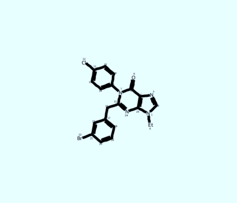 CCn1cnc2c(=O)n(-c3ccc(Cl)cc3)c(Cc3cccc(Br)c3)nc21